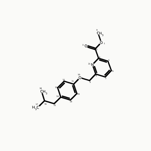 COC(=O)c1cccc(COc2ccc(CC(C)C)cc2)n1